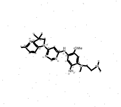 COc1cc(N(C)CCN(C)C)c(N)cc1Nc1cc(N2CC(C)(C)c3nc(C)ccc32)ncn1